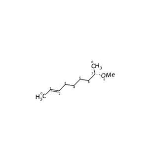 C/C=C/CCCC[C@H](C)OC